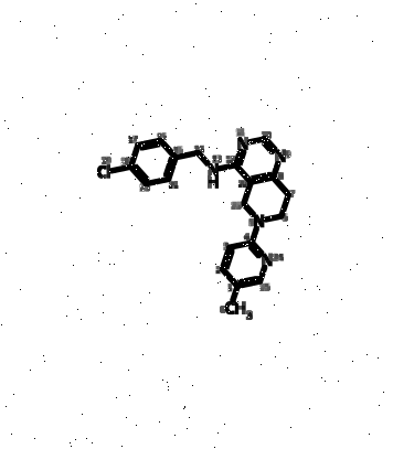 Cc1ccc(N2CCc3ncnc(NCc4ccc(Cl)cc4)c3C2)nc1